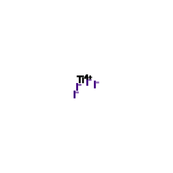 [I-].[I-].[I-].[I-].[Ti+4]